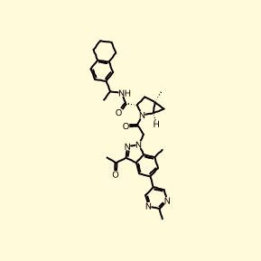 CC(=O)c1nn(CC(=O)N2[C@H](C(=O)NC(C)c3ccc4c(c3)CCCC4)C[C@@]3(C)C[C@@H]23)c2c(C)cc(-c3cnc(C)nc3)cc12